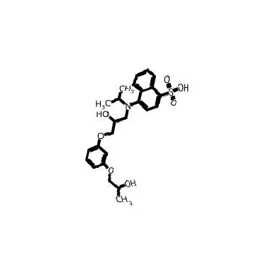 CC(O)COc1cccc(OCC(O)CN(c2ccc(S(=O)(=O)O)c3ccccc23)C(C)C)c1